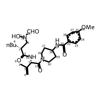 C=C(C)[C@H](NC(=O)[C@H](CCCC)CN(O)C=O)C(=O)N1CCC(NC(=O)c2ccc(OC)cc2)CC1